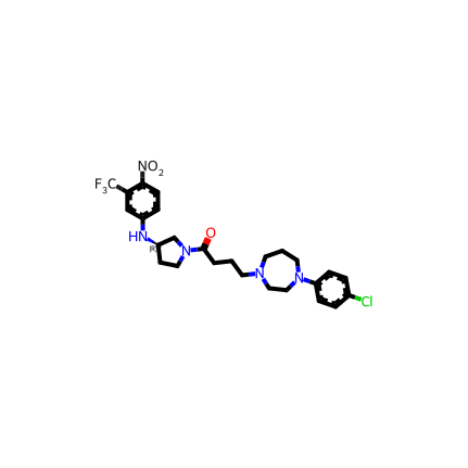 O=C(CCCN1CCCN(c2ccc(Cl)cc2)CC1)N1CC[C@@H](Nc2ccc([N+](=O)[O-])c(C(F)(F)F)c2)C1